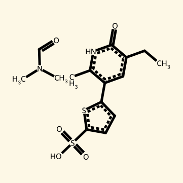 CCc1cc(-c2ccc(S(=O)(=O)O)s2)c(C)[nH]c1=O.CN(C)C=O